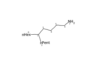 CCCCCCC(CCCCC)CCCCN